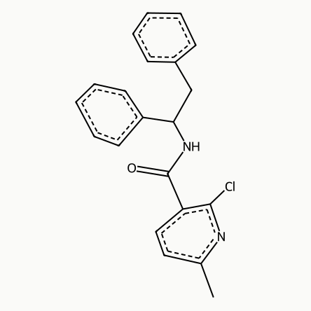 Cc1ccc(C(=O)NC(Cc2ccccc2)c2ccccc2)c(Cl)n1